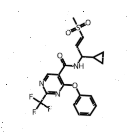 CS(=O)(=O)C=CC(NC(=O)c1cnc(C(F)(F)F)nc1Oc1ccccc1)C1CC1